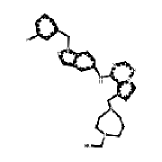 N#CCN1CCCN(Cc2ccn3ncnc(Nc4ccc5c(cnn5Cc5cccc(F)c5)c4)c23)CC1